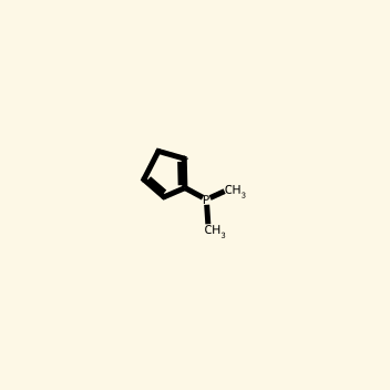 CP(C)C1=[C]CC=C1